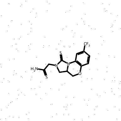 NC(=S)CN1CC2COc3ccc(C(F)(F)F)cc3N2C1=S